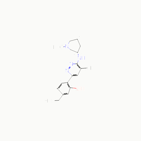 CCc1ccc(-c2cc(C)c(N[C@@H]3CCCN(C)C3)nn2)c(O)c1